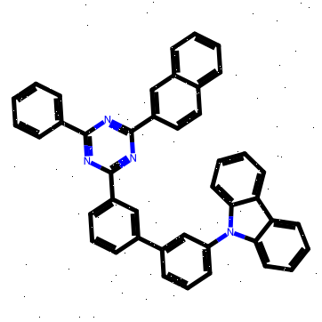 c1ccc(-c2nc(-c3cccc(-c4cccc(-n5c6ccccc6c6ccccc65)c4)c3)nc(-c3ccc4ccccc4c3)n2)cc1